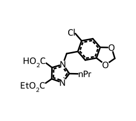 CCCc1nc(C(=O)OCC)c(C(=O)O)n1Cc1cc2c(cc1Cl)OCO2